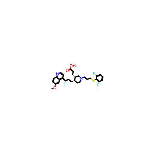 COc1ccc2nccc([C@H](F)CC[C@@H]3CCN(CCCSc4c(F)cccc4F)C[C@H]3CCC(=O)O)c2c1